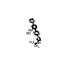 CC(C)NC1CCN(c2ncc(-c3ccc(-n4nccn4)cc3O)nn2)C1.Cl